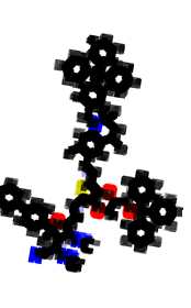 [C-]#[N+]C1=C(/C=C/c2sc(/C=C/c3cc4c(cc3C)N(Cc3ccc([Si](c5ccccc5)(c5ccccc5)c5ccccc5)cc3)C(C)(C)CC4C)c3c2OCC(COC(c2ccccc2)(c2ccccc2)c2ccccc2)O3)OC(C)(c2ccc(-c3ccccc3)cc2)/C1=C(\C#N)[N+]#[C-]